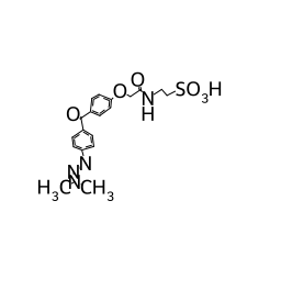 CN(C)/N=N/c1ccc(C(=O)c2ccc(OCC(=O)NCCS(=O)(=O)O)cc2)cc1